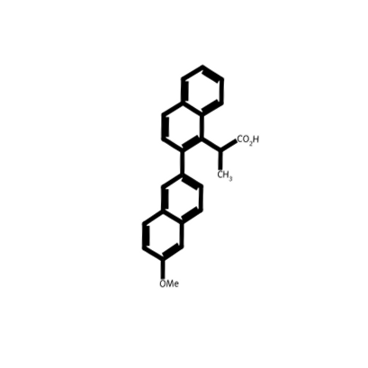 COc1ccc2cc(-c3ccc4ccccc4c3C(C)C(=O)O)ccc2c1